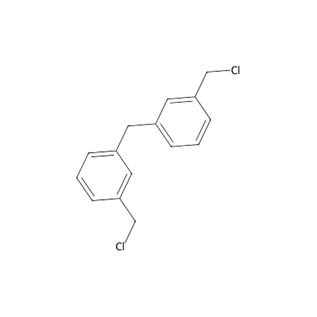 ClCc1cccc(Cc2cccc(CCl)c2)c1